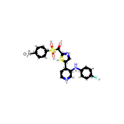 O=C(c1ncc(-c2ccncc2Nc2ccc(F)cc2)s1)S(=O)(=O)c1ccc([N+](=O)[O-])cc1